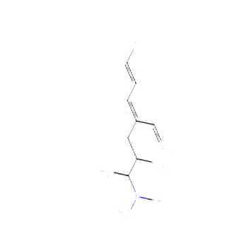 C=C/C(=C\C=C\F)CC(C)C(C)N(C)C